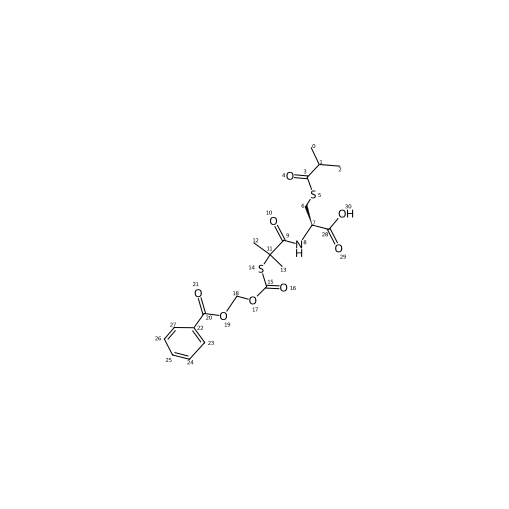 CC(C)C(=O)SC[C@H](NC(=O)C(C)(C)SC(=O)OCOC(=O)c1ccccc1)C(=O)O